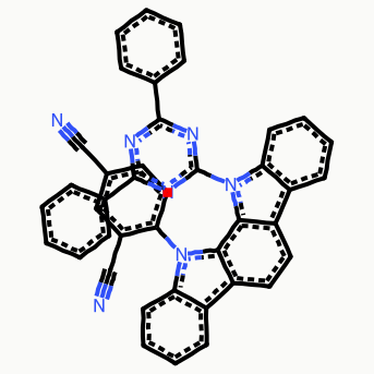 N#Cc1ccc(-n2c3ccccc3c3ccc4c5ccccc5n(-c5nc(-c6ccccc6)nc(-c6ccccc6)n5)c4c32)c(C#N)c1